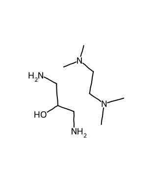 CN(C)CCN(C)C.NCC(O)CN